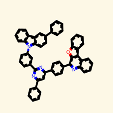 c1ccc(-c2ccc3c(c2)c2ccccc2n3-c2cccc(-c3nc(-c4ccccc4)cc(-c4ccc(-c5nc6ccccc6c6c5oc5ccccc56)cc4)n3)c2)cc1